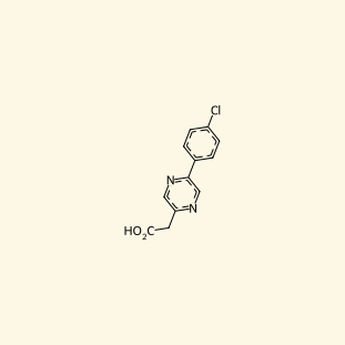 O=C(O)Cc1cnc(-c2ccc(Cl)cc2)cn1